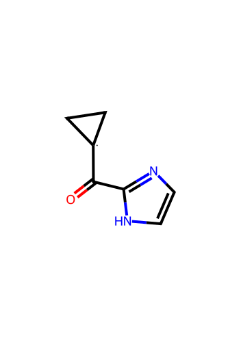 O=C([C]1CC1)c1ncc[nH]1